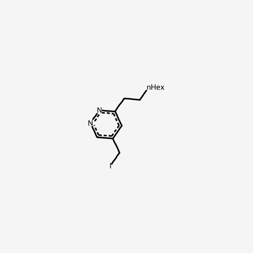 CCCCCCCCc1cc(CI)cnn1